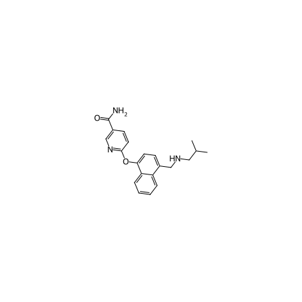 CC(C)CNCc1ccc(Oc2ccc(C(N)=O)cn2)c2ccccc12